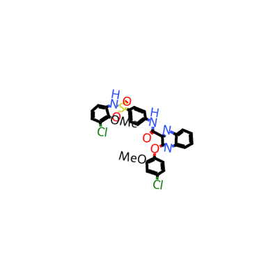 COc1cc(Cl)ccc1Oc1nc2ccccc2nc1C(=O)Nc1ccc(S(=O)(=O)Nc2cccc(Cl)c2OC)cc1